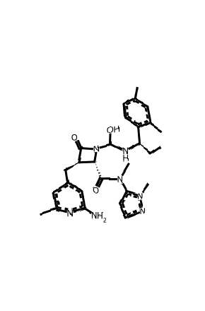 CC[C@@H](NC(O)N1C(=O)[C@H](Cc2cc(C)nc(N)c2)[C@H]1C(=O)N(C)c1ccnn1C)c1ccc(C)cc1C